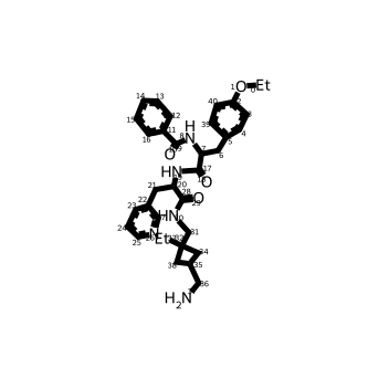 CCOc1ccc(CC(NC(=O)c2ccccc2)C(=O)NC(Cc2cccnc2)C(=O)NCC2(CC)CC(CN)C2)cc1